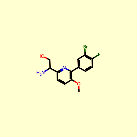 COc1ccc(C(N)CO)nc1-c1ccc(F)c(Br)c1